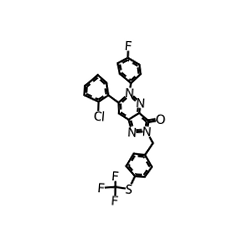 O=c1c2nn(-c3ccc(F)cc3)c(-c3ccccc3Cl)cc-2nn1Cc1ccc(SC(F)(F)F)cc1